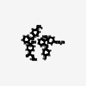 CCOC(=O)N1CCC(O)(c2ccccc2Oc2ccc(F)cc2)CC1.Cc1ccc(Oc2ccccc2C2(O)CCN(C(=O)OC(C)(C)C)CC2)cc1